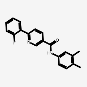 Cc1ccc(NC(=O)c2ccc(-c3ccccc3F)nc2)cc1C